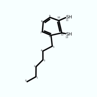 CCCCCCc1cccc(S)c1S